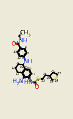 CCNC(=O)c1ccc(NC2CCCc3c2ccc(NC(=O)SCCC2CCSC2)c3N)cc1